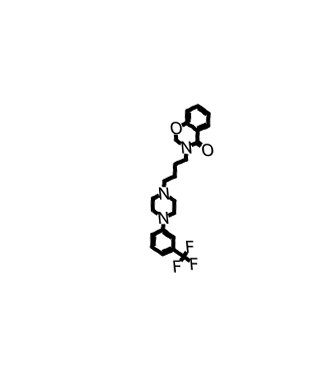 O=C1c2ccccc2OCN1CCCCN1CCN(c2cccc(C(F)(F)F)c2)CC1